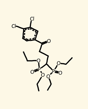 CCOP(=O)(OCC)C(CCC(=O)c1ccc(Cl)c(Cl)c1)P(=O)(OCC)OCC